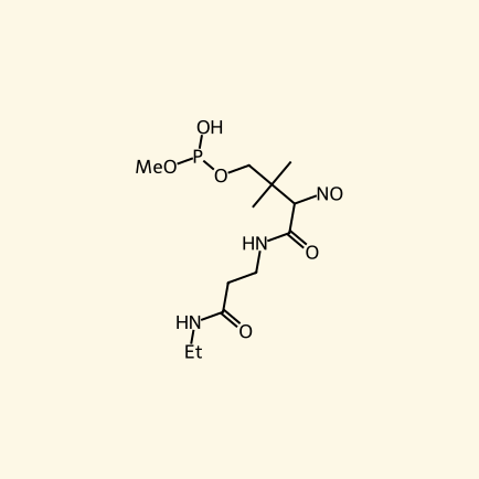 CCNC(=O)CCNC(=O)C(N=O)C(C)(C)COP(O)OC